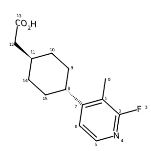 Cc1c(F)nccc1[C@H]1CC[C@H](CC(=O)O)CC1